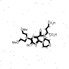 COCCN(CCOC)c1nc(C(=O)N[C@H](CCC(=O)O)C(=O)O)c(N2CCOCC2)nc1C#N